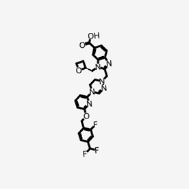 O=C(O)c1ccc2nc(CN3CCN(c4cccc(OCc5ccc(C(F)F)cc5F)n4)C=N3)n(C[C@@H]3CCO3)c2c1